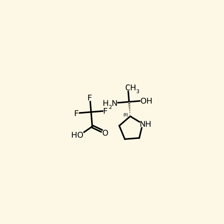 CC(N)(O)[C@H]1CCCN1.O=C(O)C(F)(F)F